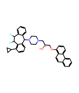 O[C@H](COc1cccc2c1ccc1ccccc12)CN1CCN(C2c3ccccc3C(F)C(F)c3c(C4CC4)cccc32)CC1